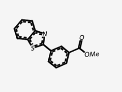 COC(=O)c1cccc(-c2nc3ccccc3s2)c1